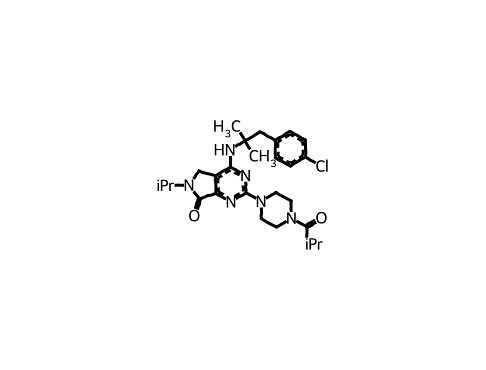 CC(C)C(=O)N1CCN(c2nc(NC(C)(C)Cc3ccc(Cl)cc3)c3c(n2)C(=O)N(C(C)C)C3)CC1